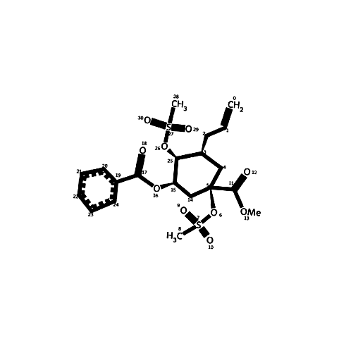 C=CC[C@H]1C[C@](OS(C)(=O)=O)(C(=O)OC)C[C@@H](OC(=O)c2ccccc2)[C@H]1OS(C)(=O)=O